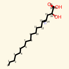 CCCCCCCCCCCCC/C=C/CC(O)C(=O)O